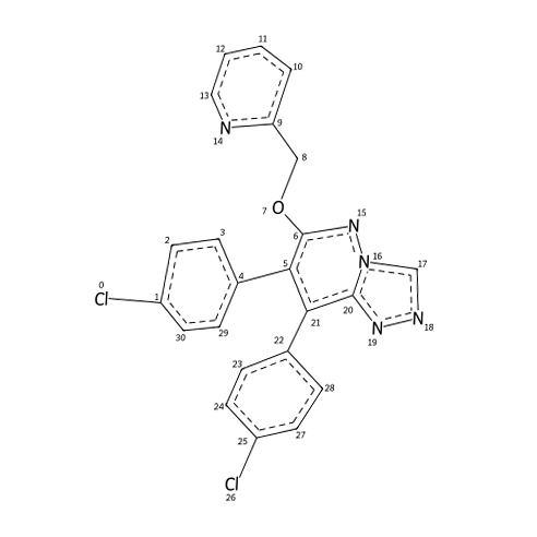 Clc1ccc(-c2c(OCc3ccccn3)nn3cnnc3c2-c2ccc(Cl)cc2)cc1